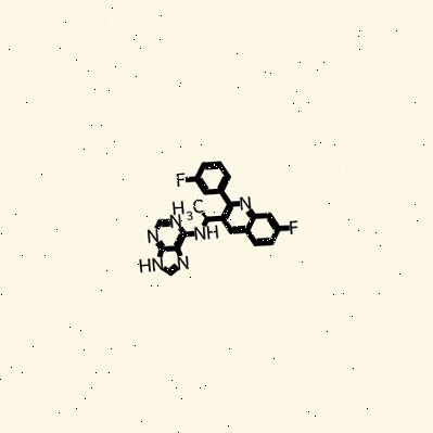 C[C@H](Nc1ncnc2[nH]cnc12)c1cc2ccc(F)cc2nc1-c1cccc(F)c1